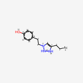 CC(=O)CCC1=CN(CCc2ccc(O)cc2)NN1